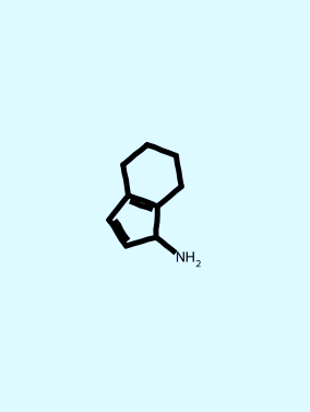 NC1C=CC2=C1CCCC2